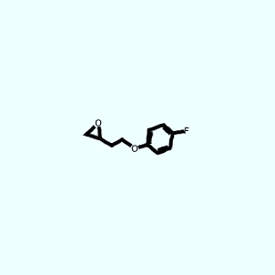 Fc1ccc(OCCC2CO2)cc1